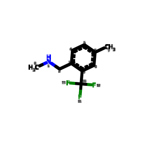 CNCc1ccc(C)cc1C(F)(F)F